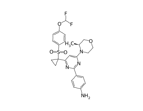 C[C@H]1COCCN1c1cc(C2(S(=O)(=O)c3ccc(OC(F)F)cc3)CC2)nc(-c2ccc(N)cc2)n1